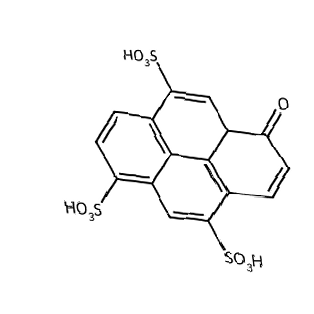 O=C1C=Cc2c(S(=O)(=O)O)cc3c(S(=O)(=O)O)ccc4c3c2C1C=C4S(=O)(=O)O